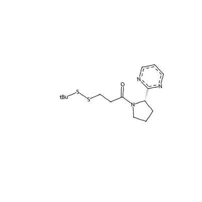 CC(C)(C)SSCCC(=O)N1CCC[C@H]1c1ncccn1